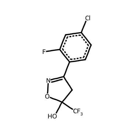 OC1(C(F)(F)F)CC(c2ccc(Cl)cc2F)=NO1